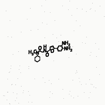 CN(C(=O)CNC(=O)c1ccc(-c2ccc(N)c(N)c2)o1)C1CCCCC1